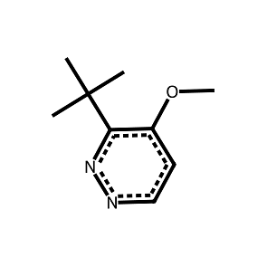 COc1ccnnc1C(C)(C)C